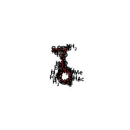 C=C1C(=O)N[C@@H](C)C(=O)N(C)[C@@H](C)C(=O)N[C@@H]([C@H](OC(=O)[C@@H](NC(=O)CC)[C@H](OP(=O)(O)OCc2ccc(NC(=O)[C@H](CCCNC(N)=O)NC[C@@H](NC(=O)CCN3C(=O)C=CC3=O)C(C)C)cc2)C(C)C)C(C)C)C(=O)N(C)[C@@H]([C@@H](C)OC)C(=O)O[C@H](C)[C@H](NC(C)=O)C(=O)O[C@H](Cc2ccccc2)C(=O)N1C